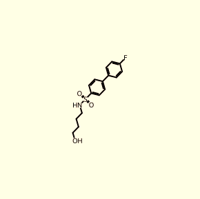 O=S(=O)(NCCCCO)c1ccc(-c2ccc(F)cc2)cc1